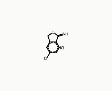 Cl.N=C1OCc2cc(Cl)ccc21